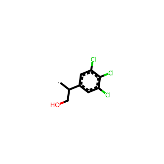 [CH2]C(CO)c1cc(Cl)c(Cl)c(Cl)c1